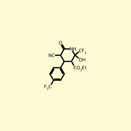 CCOC(=O)C1C(c2ccc(C(F)(F)F)cc2)C(C#N)C(=O)NC1(O)C(F)(F)F